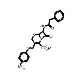 Nc1ccc(SCC2=C(C(=O)O)N3C(=O)C(NC(=O)Cc4ccccc4)C3SC2)cc1